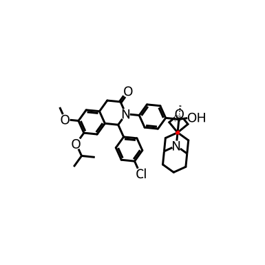 COc1cc2c(cc1OC(C)C)C(c1ccc(Cl)cc1)N(c1ccc([C@@](C)(O)C3CC4CCCC(C3)N4C3COC3)cc1)C(=O)C2